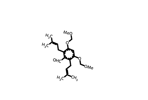 COCOc1cc(OCOC)c(CC=C(C)C)c(C=O)c1CC=C(C)C